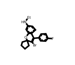 CCNc1ccc2c(c1)OC1(CCCC1)C(Br)=C2c1ccc(F)cc1